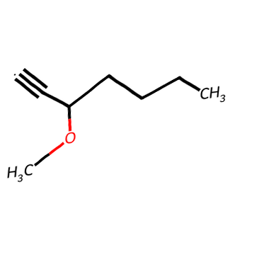 [C]#CC(CCCC)OC